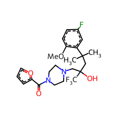 COc1ccc(F)cc1C(C)(C)CC(O)(CN1CCN(C(=O)c2ccco2)CC1)C(F)(F)F